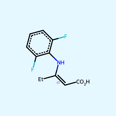 CC/C(=C/C(=O)O)Nc1c(F)cccc1F